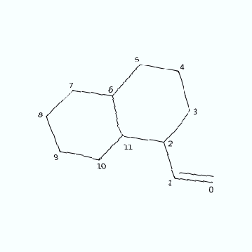 C=CC1CCCC2CCCCC12